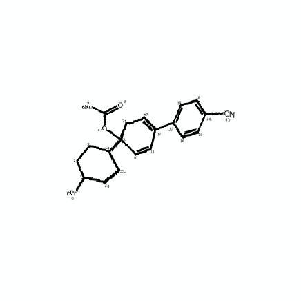 CCCC1CCC(C2(OC(=O)C(C)(C)C)C=CC(c3ccc(C#N)cc3)=CC2)CC1